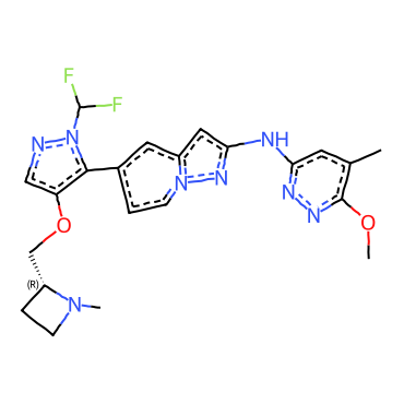 COc1nnc(Nc2cc3cc(-c4c(OC[C@H]5CCN5C)cnn4C(F)F)ccn3n2)cc1C